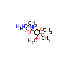 COc1cc(C(=O)NC(C)(C)CN)cc(OC)c1OC